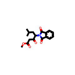 COC(=O)CC(=O)C(CC(C)C)N1C(=O)c2ccccc2C1=O